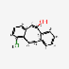 O/C1=C/c2cccc(Cl)c2/C=C\c2ccccc21